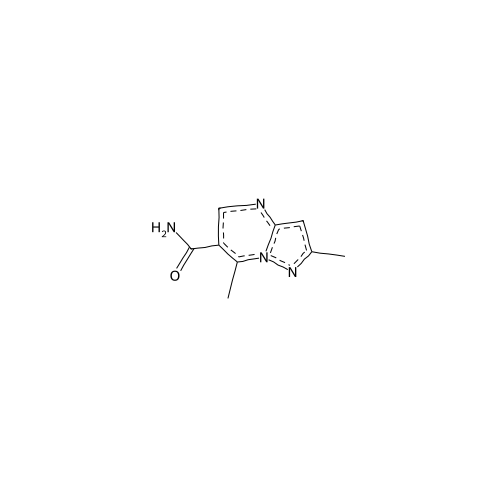 Cc1cc2ncc(C(N)=O)c(C)n2n1